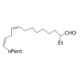 CCCCC/C=C\C/C=C\CCCCCCC([C]=O)CC